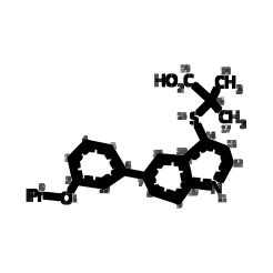 CC(C)Oc1cccc(-c2ccc3nccc(SC(C)(C)C(=O)O)c3c2)c1